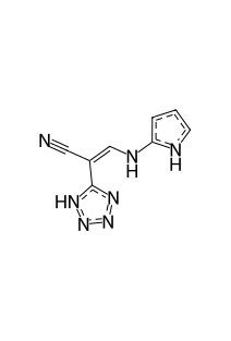 N#CC(=CNc1ccc[nH]1)c1nnn[nH]1